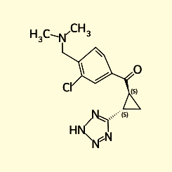 CN(C)Cc1ccc(C(=O)[C@H]2C[C@@H]2c2nn[nH]n2)cc1Cl